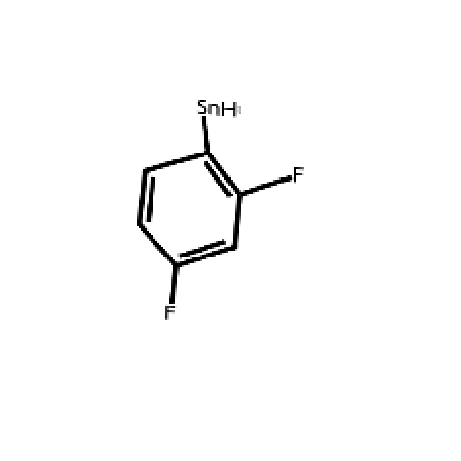 Fc1cc[c]([SnH])c(F)c1